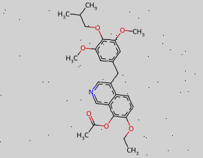 CCOc1ccc2c(Cc3cc(OC)c(OCC(C)C)c(OC)c3)cncc2c1OC(C)=O